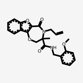 C=CCN1C(=O)c2oc3ccccc3c2OCC1(C)C(=O)NCc1ccccc1OC